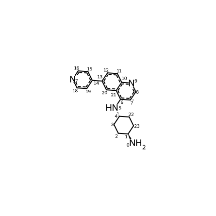 N[C@H]1CC[C@H](Nc2[c]cnc3ccc(-c4ccncc4)cc23)CC1